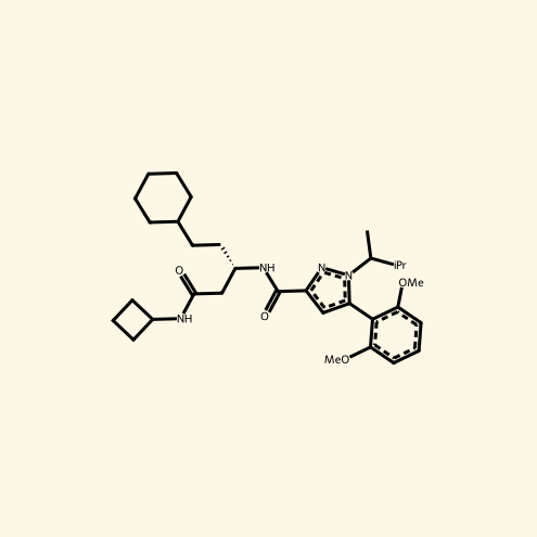 COc1cccc(OC)c1-c1cc(C(=O)N[C@@H](CCC2CCCCC2)CC(=O)NC2CCC2)nn1C(C)C(C)C